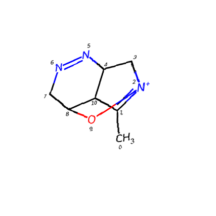 CC1=[N+]2CC3N=NCC(O2)C13